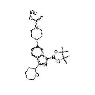 CC(C)(C)OC(=O)N1CCC(c2ccc3c(c2)c(B2OC(C)(C)C(C)(C)O2)nn3C2CCCCO2)CC1